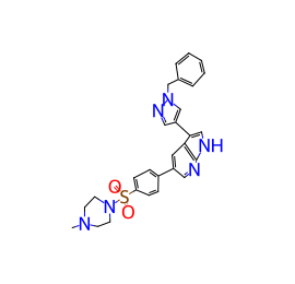 CN1CCN(S(=O)(=O)c2ccc(-c3cnc4[nH]cc(-c5cnn(Cc6ccccc6)c5)c4c3)cc2)CC1